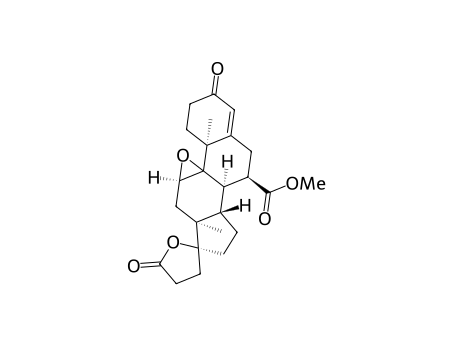 COC(=O)[C@@H]1CC2=CC(=O)CC[C@]2(C)C23O[C@@H]2C[C@@]2(C)[C@@H](CC[C@@]24CCC(=O)O4)[C@H]13